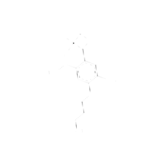 CCCCOc1cc(OC)c(C2OCC2(C)C)cc1C